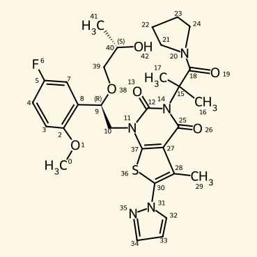 COc1ccc(F)cc1[C@H](Cn1c(=O)n(C(C)(C)C(=O)N2CCCC2)c(=O)c2c(C)c(-n3cccn3)sc21)OC[C@H](C)O